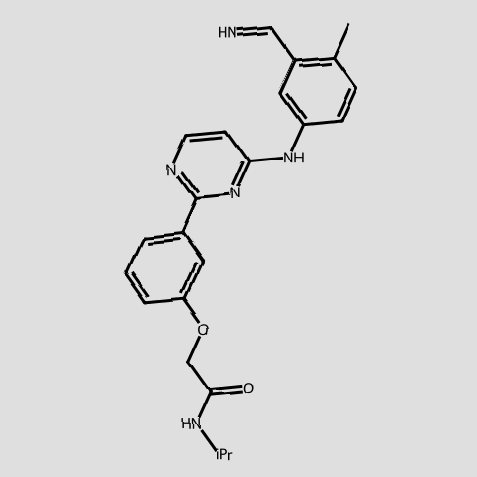 Cc1ccc(Nc2ccnc(-c3cccc(OCC(=O)NC(C)C)c3)n2)cc1C=N